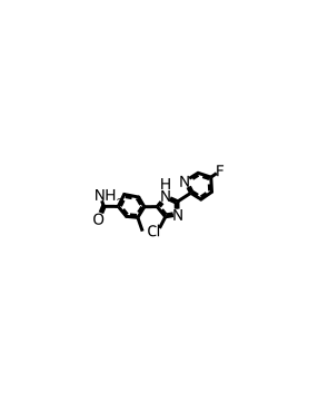 Cc1cc(C(N)=O)ccc1-c1[nH]c(-c2ccc(F)cn2)nc1Cl